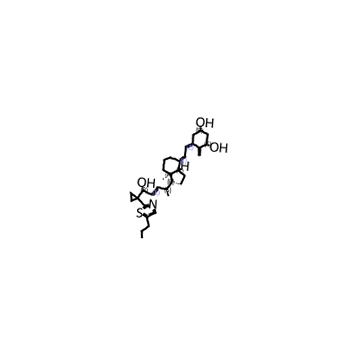 C=C1/C(=C\C=C2/CCC[C@]3(C)[C@@H]([C@@H](C)/C=C/[C@@H](O)C4(c5ncc(CCC)s5)CC4)CC[C@@H]23)C[C@@H](O)C[C@@H]1O